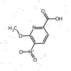 COc1nc(C(=O)O)ccc1[N+](=O)[O-]